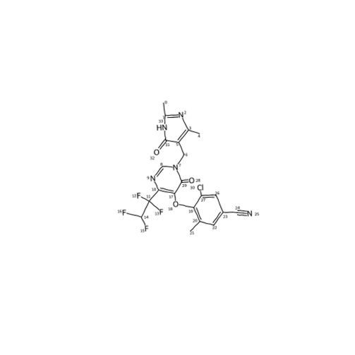 Cc1nc(C)c(Cn2cnc(C(F)(F)C(F)F)c(Oc3c(C)cc(C#N)cc3Cl)c2=O)c(=O)[nH]1